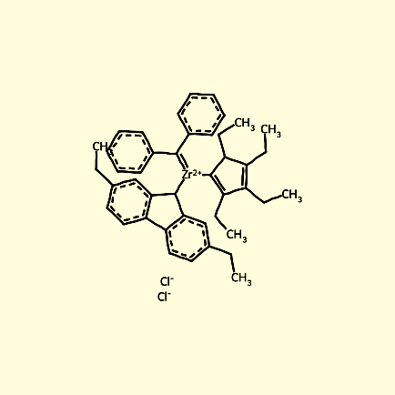 CCC1=C(CC)C(CC)[C]([Zr+2](=[C](c2ccccc2)c2ccccc2)[CH]2c3cc(CC)ccc3-c3ccc(CC)cc32)=C1CC.[Cl-].[Cl-]